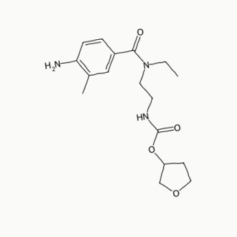 CCN(CCNC(=O)OC1CCOC1)C(=O)c1ccc(N)c(C)c1